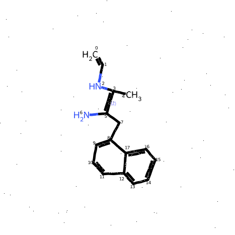 C=CN/C(C)=C(\N)Cc1cccc2ccccc12